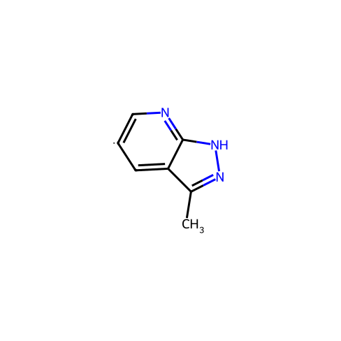 Cc1n[nH]c2nc[c]cc12